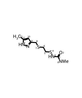 CNC(=O)NSCCSCc1cc(C)[nH]n1